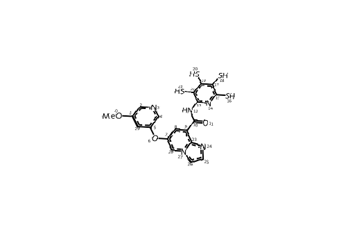 COc1cncc(Oc2cc(C(=O)Nc3nc(S)c(S)c(S)c3S)c3nccn3c2)c1